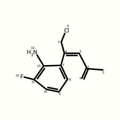 C=C(C)/C=C(/CCl)c1cccc(F)c1N